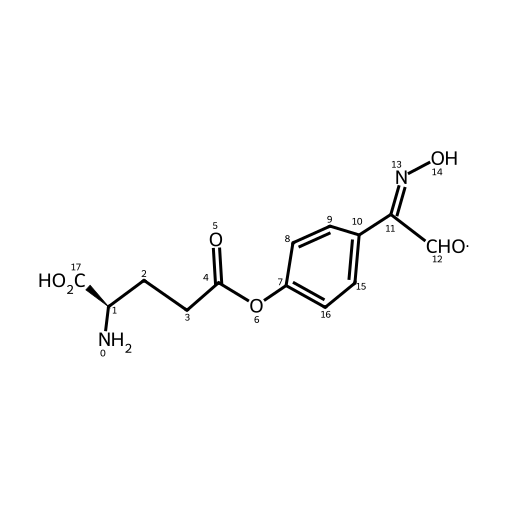 N[C@H](CCC(=O)Oc1ccc(/C([C]=O)=N/O)cc1)C(=O)O